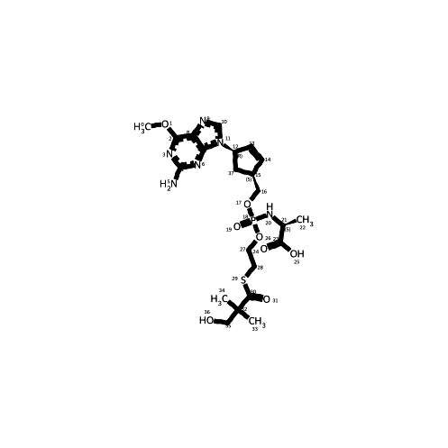 COc1nc(N)nc2c1ncn2[C@H]1C=C[C@@H](COP(=O)(N[C@@H](C)C(=O)O)OCCSC(=O)C(C)(C)CO)C1